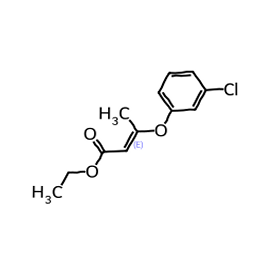 CCOC(=O)/C=C(\C)Oc1cccc(Cl)c1